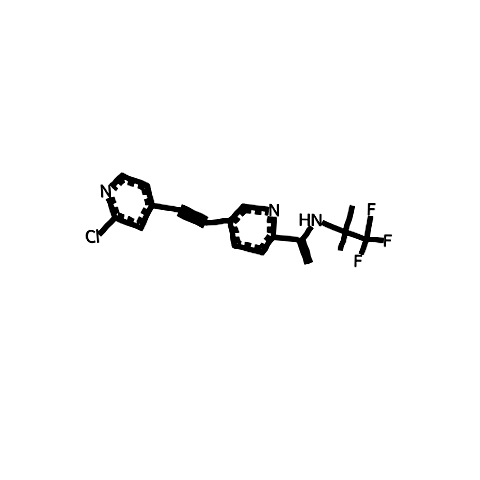 C=C(NC(C)(C)C(F)(F)F)c1ccc(C#Cc2ccnc(Cl)c2)cn1